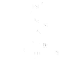 CC(C)Oc1nc(C#N)cc2cnc(N[C@H]3CCCNC3)nc12